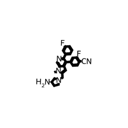 Cn1c(CN2CC[C@H](N)C2)cc2c(-c3ccc(C#N)c(F)c3)c(-c3cccc(F)c3)ncc21